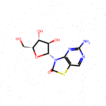 Nc1ncc2sc(=O)n([C@@H]3O[C@H](CO)[C@H](O)[C@H]3O)c2n1